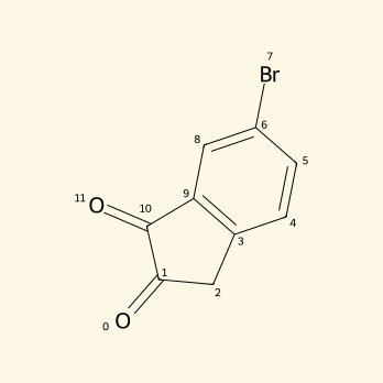 O=C1Cc2ccc(Br)cc2C1=O